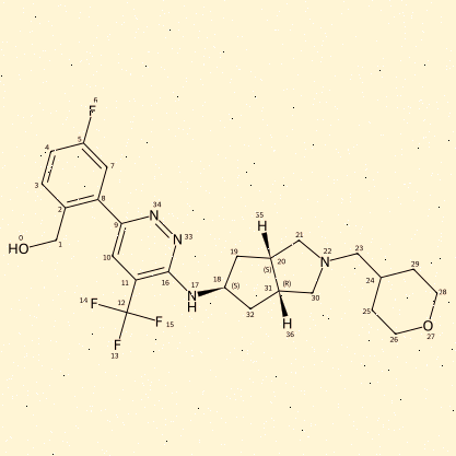 OCc1ccc(F)cc1-c1cc(C(F)(F)F)c(N[C@H]2C[C@@H]3CN(CC4CCOCC4)C[C@@H]3C2)nn1